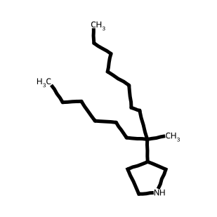 CCCCCCCC(C)(CCCCCC)C1CCNC1